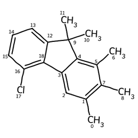 Cc1cc2c(c(C)c1C)C(C)(C)c1cccc(Cl)c1-2